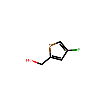 OCc1cc(F)cs1